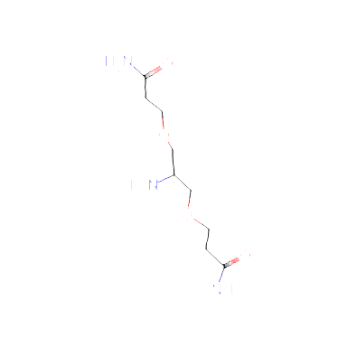 NC(=O)CCOCC(N)COCCC(N)=O